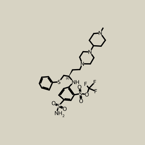 CN1CCC(N2CCN(CC[C@H](CSc3ccccc3)Nc3ccc(S(N)(=O)=O)cc3S(=O)(=O)OC(F)(F)F)CC2)CC1